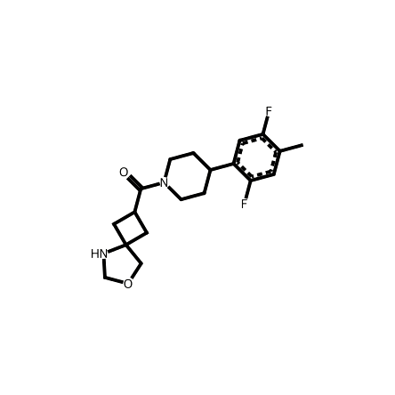 Cc1cc(F)c(C2CCN(C(=O)C3CC4(COCN4)C3)CC2)cc1F